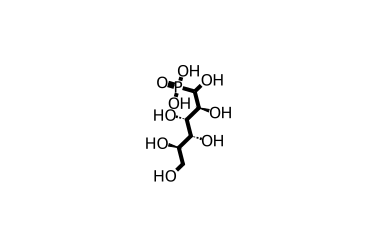 O=P(O)(O)C(O)[C@@H](O)[C@@H](O)[C@H](O)[C@H](O)CO